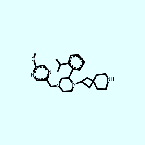 COc1cnc(CN2CCN(C3CC4(CCNCC4)C3)C(c3ccccc3C(C)C)C2)cn1